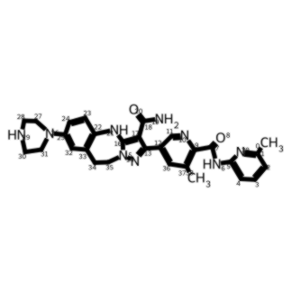 Cc1cccc(NC(=O)c2ncc(-c3nn4c(c3C(N)=O)Nc3ccc(N5CCNCC5)cc3CC4)cc2C)n1